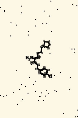 NC(=NCCCN1CCCC1)NCCc1ccc(Cl)cc1